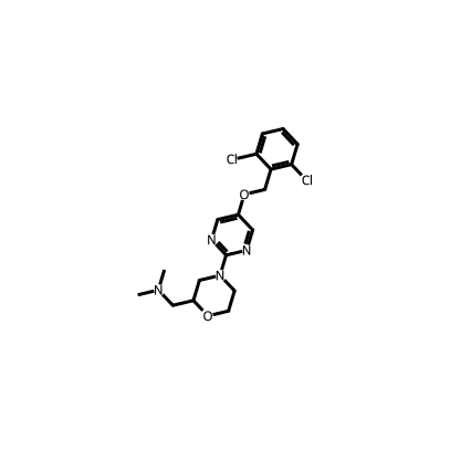 CN(C)CC1CN(c2ncc(OCc3c(Cl)cccc3Cl)cn2)CCO1